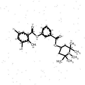 CN1C(C)(C)CC(OC(=O)c2cccc(OC(=O)c3cc(I)cc(I)c3O)c2)CC1(C)C